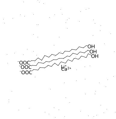 O=C([O-])CCCCCCCCCCCCCCCCCO.O=C([O-])CCCCCCCCCCCCCCCCCO.O=C([O-])CCCCCCCCCCCCCCCCCO.[Ca+2].[Li+]